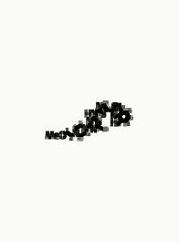 COCCN1CCN(c2nc(C)nc(Nc3ncc(C(=O)Nc4c(C)cccc4Cl)s3)n2)CC1